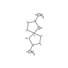 CC1CCC2(CCC(C)O2)C1